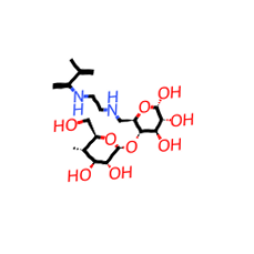 C=C(C)C(=C)NCCNC[C@H]1O[C@H](O)[C@H](O)[C@@H](O)[C@@H]1O[C@H]1O[C@H](CO)[C@@H](C)[C@H](O)[C@H]1O